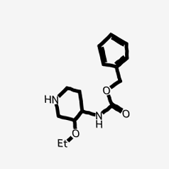 CCOC1CNCCC1NC(=O)OCc1ccccc1